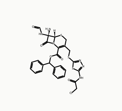 N[C@]1(NC=O)C(=O)N2C(C(=O)OC(c3ccccc3)c3ccccc3)=C(CSc3nnc(NC(=O)CCl)s3)CS[C@H]21